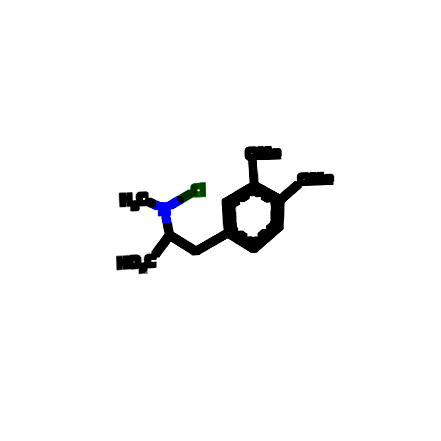 COc1ccc(CC(C(=O)O)N(C)Cl)cc1OC